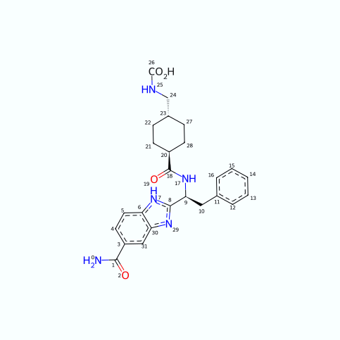 NC(=O)c1ccc2[nH]c([C@H](Cc3ccccc3)NC(=O)[C@H]3CC[C@H](CNC(=O)O)CC3)nc2c1